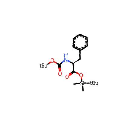 CC(C)(C)OC(=O)N[C@@H](Cc1ccccc1)C(=O)O[Si](C)(C)C(C)(C)C